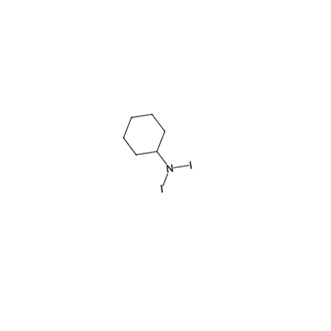 IN(I)C1CCCCC1